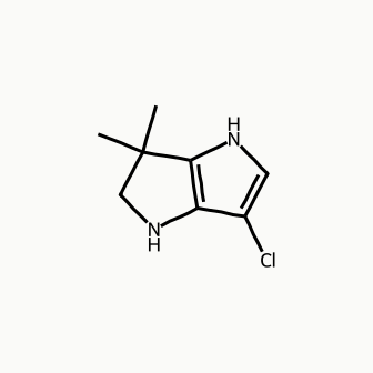 CC1(C)CNc2c(Cl)c[nH]c21